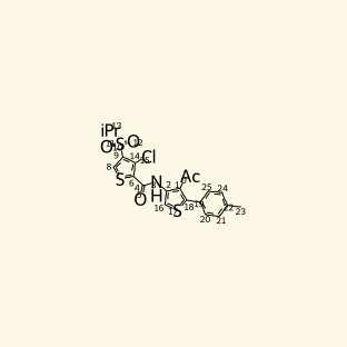 CC(=O)c1c(NC(=O)c2scc(S(=O)(=O)C(C)C)c2Cl)csc1-c1ccc(C)cc1